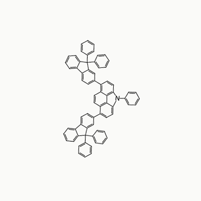 c1ccc(-n2c3ccc(-c4ccc5c(c4)C(c4ccccc4)(c4ccccc4)c4ccccc4-5)c4ccc5c(-c6ccc7c(c6)C(c6ccccc6)(c6ccccc6)c6ccccc6-7)ccc2c5c43)cc1